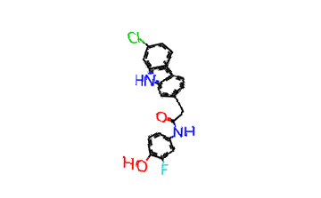 O=C(Cc1ccc2c(c1)[nH]c1cc(Cl)ccc12)Nc1ccc(O)c(F)c1